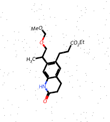 CCOC(=O)CCc1cc2c(cc1C(C)COCOC)NC(=O)CC2